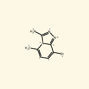 CCc1ccc(C)n2c(N)nnc12